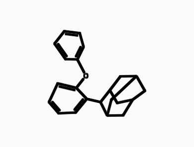 c1ccc(Oc2ccccc2C2C3CC4CC(C3)CC2C4)cc1